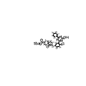 CC(C)(C)OC(=O)N1CCC2(CC1)CCN(Cc1ccc(Cl)c(-c3nc(O)nc(-c4ccccc4)n3)c1)C2=O